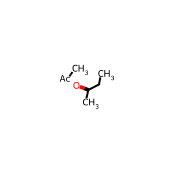 CC(C)=O.CCC(C)=O